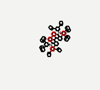 c1ccc(-c2cccc3c(N(c4cc(C5CC6CCC5C6)cc(C5CC6CCC5C6)c4)c4cc(C56CC7CC(CC(C7)C5)C6)cc(C56CC7CC(CC(C7)C5)C6)c4)c4c(-c5ccccc5)cccc4c(-c4c5cccc(-c6ccccc6)c5c(N(c5cc(C6CC7CCC6C7)cc(C6CC7CCC6C7)c5)c5cc(C67CC8CC(CC(C8)C6)C7)cc(C67CC8CC(CC(C8)C6)C7)c5)c5cccc(-c6ccccc6)c45)c23)cc1